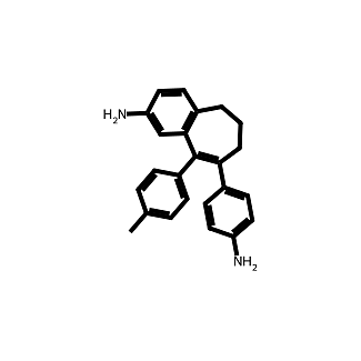 Cc1ccc(C2=C(c3ccc(N)cc3)CCCc3ccc(N)cc32)cc1